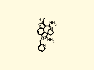 Cc1oc2ccc(OCc3ccccn3)c(C3(C(N)=O)CCOC3)c2c1C(N)=O